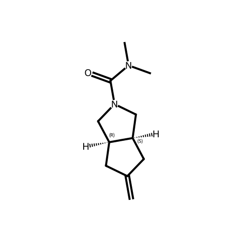 C=C1C[C@@H]2CN(C(=O)N(C)C)C[C@@H]2C1